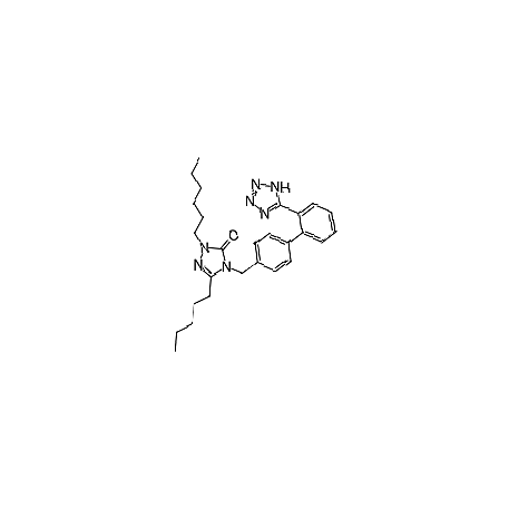 CCCCCCn1nc(CCCCC)n(Cc2ccc(-c3ccccc3-c3nnn[nH]3)cc2)c1=O